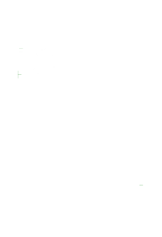 FC=CCCCCCC1CCC(CCc2ccc(F)c(F)c2)CC1